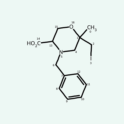 CC1(CI)CN(Cc2ccccc2)C(C(=O)O)CO1